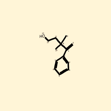 C=C(c1ccccc1)C(C)(C)CCO